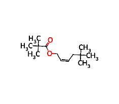 CC(C)(C)C/C=C\COC(=O)C(C)(C)C